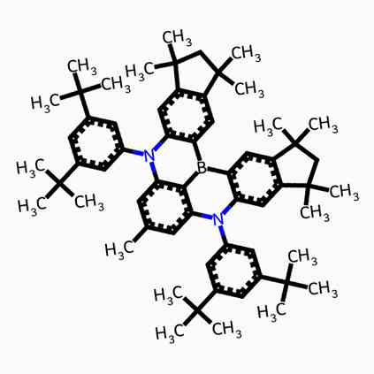 Cc1cc2c3c(c1)N(c1cc(C(C)(C)C)cc(C(C)(C)C)c1)c1cc4c(cc1B3c1cc3c(cc1N2c1cc(C(C)(C)C)cc(C(C)(C)C)c1)C(C)(C)CC3(C)C)C(C)(C)CC4(C)C